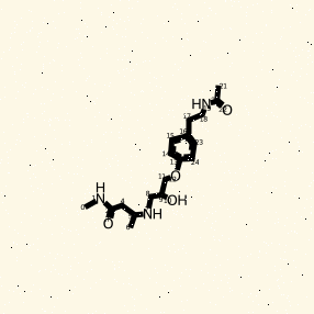 CNC(=O)CC(C)NCC(O)COc1ccc(CCNC(C)=O)cc1